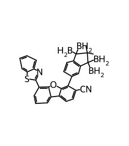 BC1(B)c2ccc(-c3c(C#N)ccc4c3oc3c(-c5nc6ccccc6s5)cccc34)cc2C(B)(B)C1(C)C